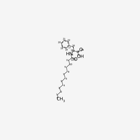 CCCCCCCCCCCCC(=O)N[C@@H](Cc1ccccc1)C(=O)O